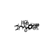 CCN(CC)CCNC(=O)c1ccc(NS(C)(=O)=O)cc1.Cl.O